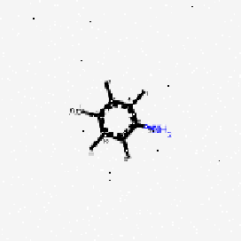 CC(=O)c1c(C)c(C)c(N)c(C)c1C